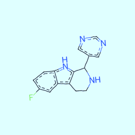 Fc1ccc2[nH]c3c(c2c1)CCNC3c1cncnc1